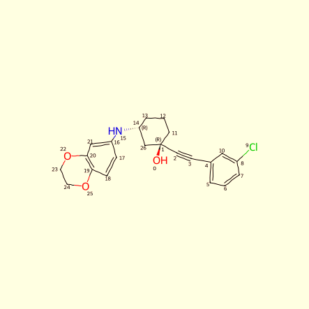 O[C@]1(C#Cc2cccc(Cl)c2)CCC[C@@H](Nc2ccc3c(c2)OCCO3)C1